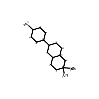 CCCCC1(C#N)CCC2CC(C3CCC(CCC)CC3)CCC2C1